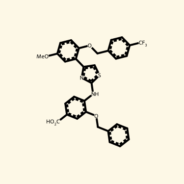 COc1ccc(OCc2ccc(C(F)(F)F)cc2)c(-c2csc(Nc3ccc(C(=O)O)cc3OCc3ccccc3)n2)c1